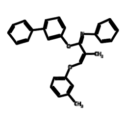 CC(=COc1cccc(C)c1)C(=Nc1ccccc1)Oc1cccc(-c2ccccc2)c1